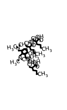 CCCCC(CC)C(=O)O.CCCCC(CC)C(=O)O.CCCCC(CC)C(=O)O.CN(C)Cc1ccc(O)c(CN(C)C)c1CN(C)C